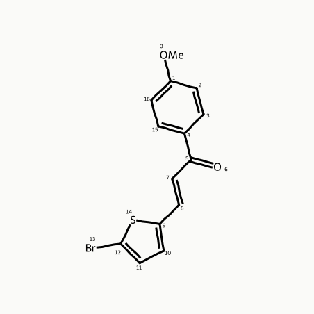 COc1ccc(C(=O)C=Cc2ccc(Br)s2)cc1